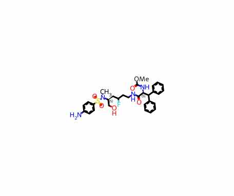 COC(=O)N[C@H](C(=O)NCCC(F)C[C@@H](CO)N(C)S(=O)(=O)c1ccc(N)cc1)C(c1ccccc1)c1ccccc1